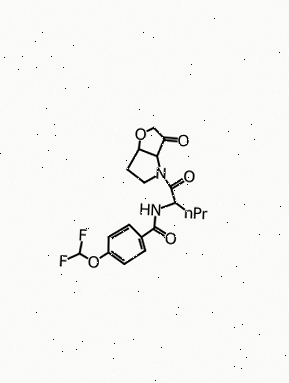 CCCC(NC(=O)c1ccc(OC(F)F)cc1)C(=O)N1CCC2OCC(=O)C21